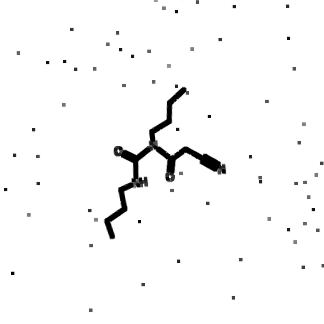 CCCCNC(=O)N(CCCC)C(=O)CC#N